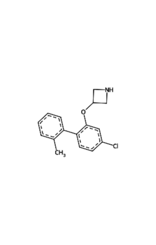 Cc1ccccc1-c1ccc(Cl)cc1OC1CNC1